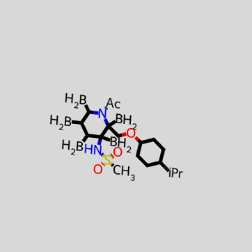 BC1C(B)N(C(C)=O)C(B)(COC2CCC(C(C)C)CC2)C(B)(NS(C)(=O)=O)C1B